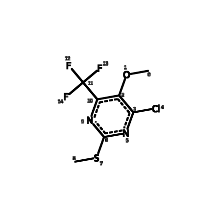 COc1c(Cl)nc(SC)nc1C(F)(F)F